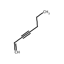 [CH]=CC#CCCC